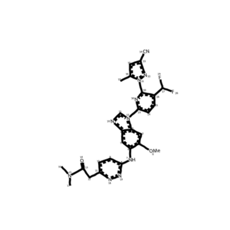 COc1cc2c(cc1Nc1ccc(CC(=O)N(C)C)nn1)ncn2-c1ccc(C(F)F)c(-n2nc(C#N)cc2C)n1